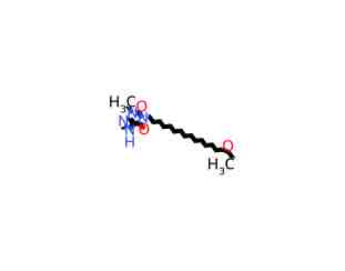 CCC1OC1CCCCCCCCCCCCCCn1c(=O)c2[nH]cnc2n(CC)c1=O